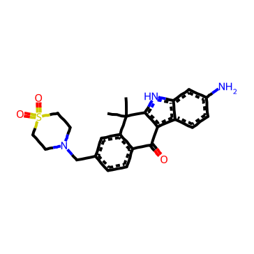 CC1(C)c2cc(CN3CCS(=O)(=O)CC3)ccc2C(=O)c2c1[nH]c1cc(N)ccc21